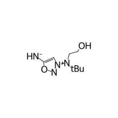 CC(C)(C)N(CCO)[n+]1cc([NH-])on1